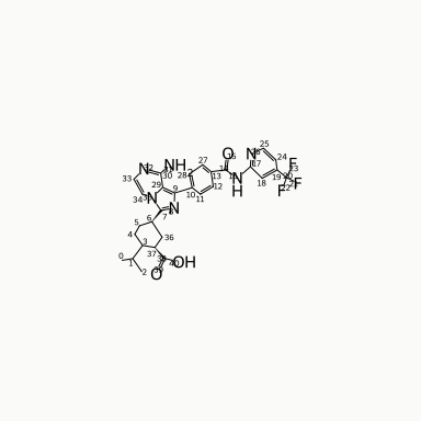 CC(C)C1CC[C@@H](c2nc(-c3ccc(C(=O)Nc4cc(C(F)(F)F)ccn4)cc3)c3c(N)nccn23)C[C@H]1C(=O)O